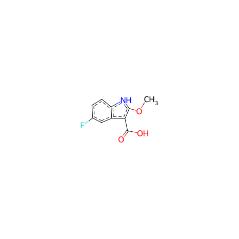 COc1[nH]c2ccc(F)cc2c1C(=O)O